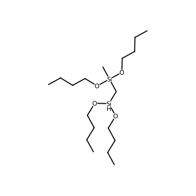 CCCCO[SiH](C[Si](C)(OCCCC)OCCCC)OCCCC